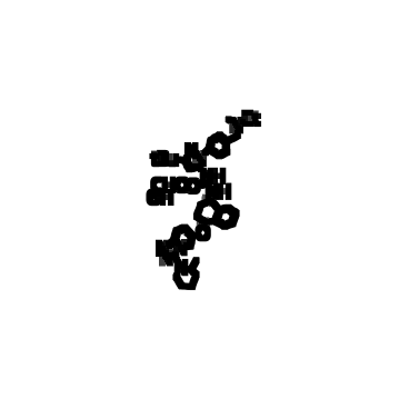 CCN(C)Cc1ccc(-n2nc(C(C)(C)C)cc2NC(=O)N[C@H]2CC[C@@H](Oc3ccc4nnc(N5CCCCC5C)n4c3)c3ccccc32)cc1.O=CO